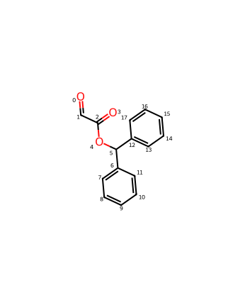 O=CC(=O)OC(c1ccccc1)c1ccccc1